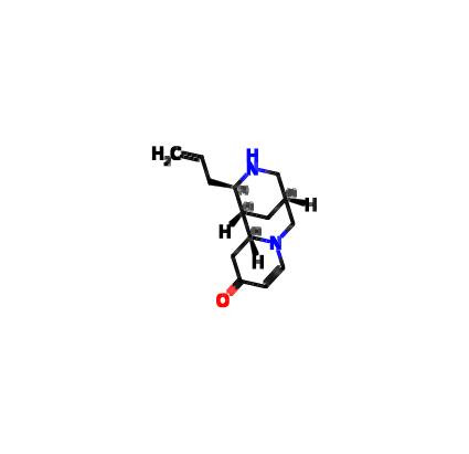 C=CC[C@H]1NC[C@H]2C[C@@H]1[C@H]1CC(=O)C=CN1C2